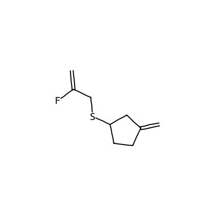 C=C(F)CSC1CCC(=C)C1